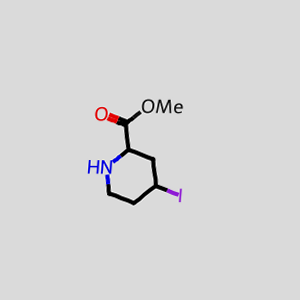 COC(=O)C1CC(I)CCN1